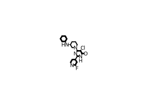 O=c1[nH]c(-c2ccnc(F)c2)nc(N2CCC[C@H](Nc3ccccc3)C2)c1Cl